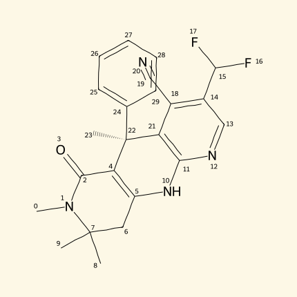 CN1C(=O)C2=C(CC1(C)C)Nc1ncc(C(F)F)c(C#N)c1[C@]2(C)c1ccccc1